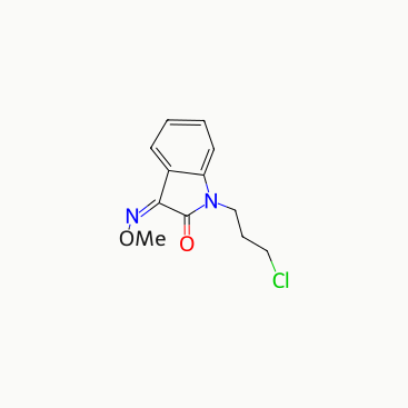 CO/N=C1\C(=O)N(CCCCl)c2ccccc21